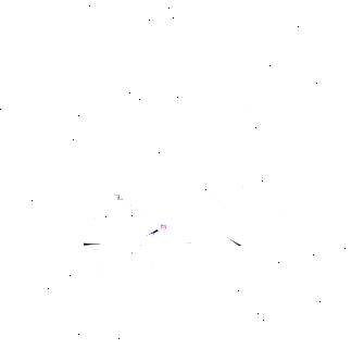 COc1ccc(CN2C(=O)[C@H]3[C@@H]4CC[C@H]([C@H]3C2=O)C(C#N)(NC(=O)[C@H](CC2CC2)NC(=O)OCc2ccccc2)C4)cc1